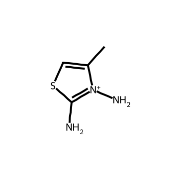 Cc1csc(N)[n+]1N